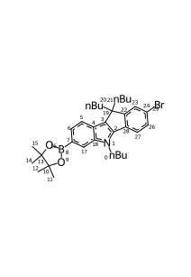 CCCCn1c2c(c3ccc(B4OC(C)(C)C(C)(C)O4)cc31)C(CCCC)(CCCC)c1cc(Br)ccc1-2